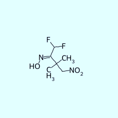 CC(C)(C[N+](=O)[O-])/C(=N\O)C(F)F